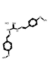 CCCOc1ccc(C=NNC(=N)NN=Cc2ccc(OCCC)cc2)cc1.Cl